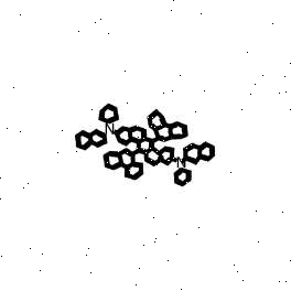 c1ccc(N(c2ccc3ccccc3c2)c2ccc3c(ccc4c(-c5cc6ccccc6c6ccccc56)c5c(ccc6cc(N(c7ccccc7)c7ccc8ccccc8c7)ccc65)c(-c5cc6ccccc6c6ccccc56)c43)c2)cc1